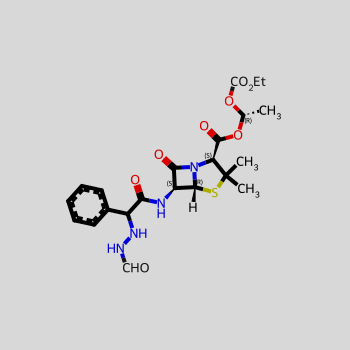 CCOC(=O)O[C@H](C)OC(=O)[C@@H]1N2C(=O)[C@H](NC(=O)C(NNC=O)c3ccccc3)[C@H]2SC1(C)C